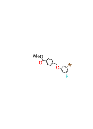 COC(=O)c1ccc(COc2cc(F)cc(Br)c2)cc1